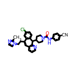 Cc1nccn1CCC1=Cc2cccnc2C(C2CCN(C(=O)Nc3ccc(C#N)cc3)CC2)c2ccc(Cl)cc21